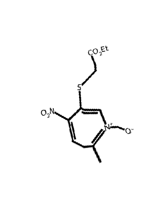 CCOC(=O)CSc1c[n+]([O-])c(C)cc1[N+](=O)[O-]